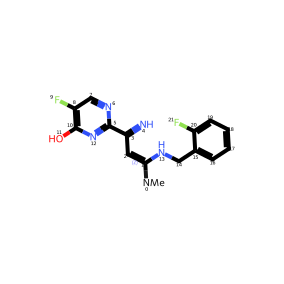 CN/C(=C/C(=N)c1ncc(F)c(O)n1)NCc1ccccc1F